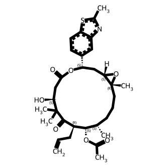 C=CC[C@H]1C(=O)C(C)(C)[C@@H](O)CC(=O)O[C@H](c2ccc3sc(C)nc3c2)C[C@@H]2O[C@]2(C)CCC[C@H](C)[C@@H]1OC(C)=O